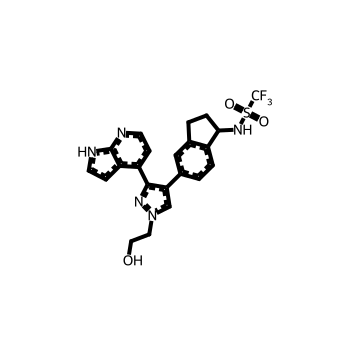 O=S(=O)(NC1CCc2cc(-c3cn(CCO)nc3-c3ccnc4[nH]ccc34)ccc21)C(F)(F)F